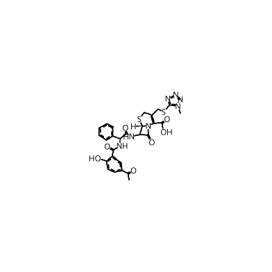 CC(=O)c1ccc(O)c(C(=O)N[C@H](C(=O)NC2C(=O)N3C(C(=O)O)=C(CSc4nnnn4C)CS[C@@H]23)c2ccccc2)c1